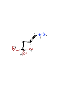 [NH]C#CCC(Br)(Br)Br